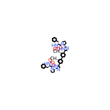 COC(=O)N[C@H](Cc1ccccc1)C(=O)N1CCC[C@H]1c1ncc(-c2ccc(-c3ccc(-c4cnc([C@@H]5CCCN5C(=O)[C@@H](Cc5ccccc5)NC(=O)OC)[nH]4)cc3)cc2)[nH]1